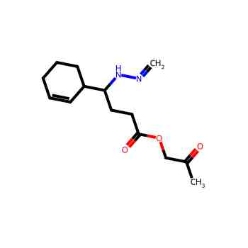 C=NNC(CCC(=O)OCC(C)=O)C1C=CCCC1